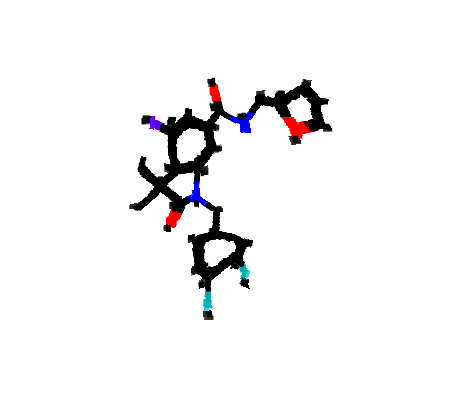 CC1(C)C(=O)N(Cc2ccc(F)c(F)c2)c2cc(C(=O)NCc3ccco3)cc(I)c21